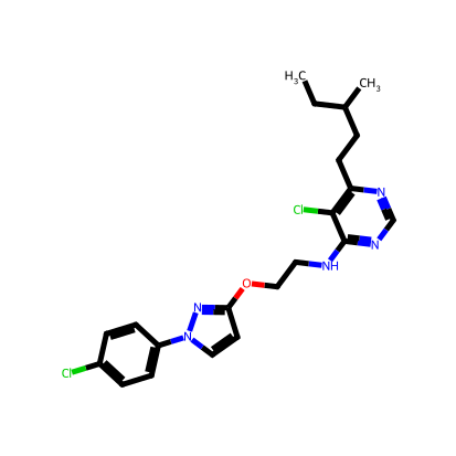 CCC(C)CCc1ncnc(NCCOc2ccn(-c3ccc(Cl)cc3)n2)c1Cl